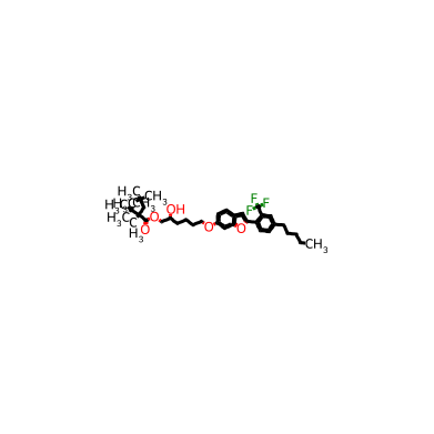 CCCCCc1ccc(-c2cc3ccc(OCCCCC(O)COC(=O)C(C)(CC(C)(C)C)C(C)(C)C)cc3o2)c(C(F)(F)F)c1